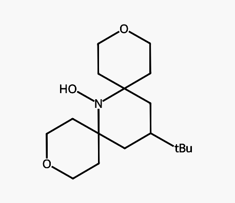 CC(C)(C)C1CC2(CCOCC2)N(O)C2(CCOCC2)C1